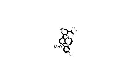 COC1(c2ccc(Cl)cc2)CCC2=C3CNCC(C(=O)C(F)(F)F)C3N3CC=CSC1=C23